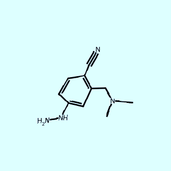 CN(C)Cc1cc(NN)ccc1C#N